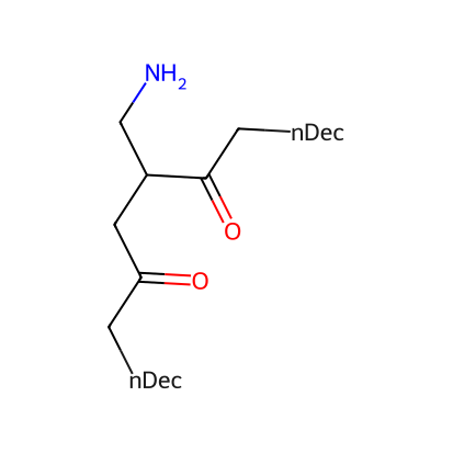 CCCCCCCCCCCC(=O)CC(CN)C(=O)CCCCCCCCCCC